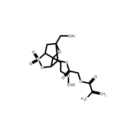 C=C(C)C(=O)OCC(=O)OC1C2OS(=O)(=O)C3CC1(COC(C)=O)OC23CCOC=O